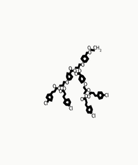 C=CC(=O)OCc1ccc(OCC(COC(=O)c2ccc(OCC(COC(=O)CCc3ccc(Cl)cc3)OC(=O)CCc3ccc(Cl)cc3)cc2)OC(=O)c2ccc(OCC(COC(=O)CCc3ccc(Cl)cc3)OC(=O)CCc3ccc(Cl)cc3)cc2)cc1